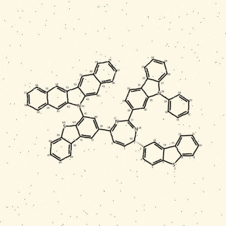 C1=C[C@@H](c2ccc3sc4ccccc4c3c2)N=C(c2ccc3c4ccccc4n(-c4ccccc4)c3c2)N=C1c1cc(-n2c3cc4ccccc4cc3c3cc4ccccc4cc32)c2sc3ccccc3c2c1